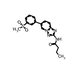 CCCC(=O)Nc1nc2ccc(-c3cccc(S(C)(=O)=O)c3)cn2n1